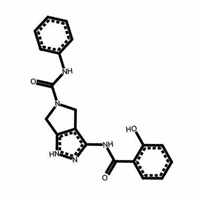 O=C(Nc1n[nH]c2c1CN(C(=O)Nc1ccccc1)C2)c1ccccc1O